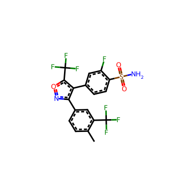 Cc1ccc(-c2noc(C(F)(F)F)c2-c2ccc(S(N)(=O)=O)c(F)c2)cc1C(F)(F)F